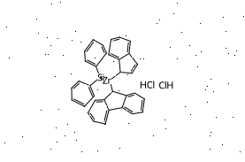 C1=C[CH]([Zr]([CH]2c3ccccc3-c3ccccc32)=[Si](c2ccccc2)c2ccccc2)c2ccccc21.Cl.Cl